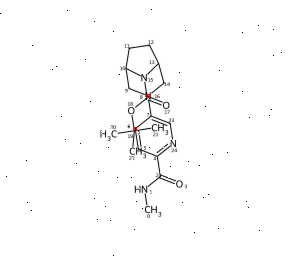 CNC(=O)c1ccc(N2CC3CCC(C2)N3C(=O)OC(C)(C)C)cn1